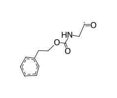 O=[C]CNC(=O)OCCc1ccccc1